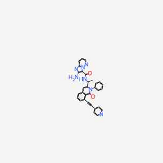 CC(NC(=O)c1c(N)nc2cccnn12)c1cc2cccc(C#Cc3ccncc3)c2c(=O)n1-c1ccccc1